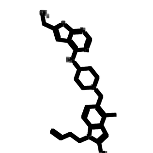 C=CCCn1c(C#N)cc2c(C)c(CN3CCC(Nc4ncnc5sc(CC(F)(F)F)cc45)CC3)ccc21